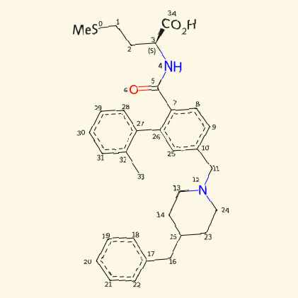 CSCC[C@H](NC(=O)c1ccc(CN2CCC(Cc3ccccc3)CC2)cc1-c1ccccc1C)C(=O)O